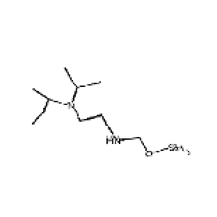 CC(C)N(CCNCO[SiH3])C(C)C